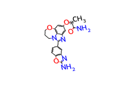 C[C@H](Oc1cc2c3c(c1)nc(-c1ccc4oc(N)nc4c1)n3CCCO2)C(N)=O